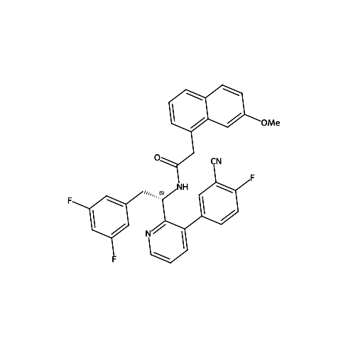 COc1ccc2cccc(CC(=O)N[C@@H](Cc3cc(F)cc(F)c3)c3ncccc3-c3ccc(F)c(C#N)c3)c2c1